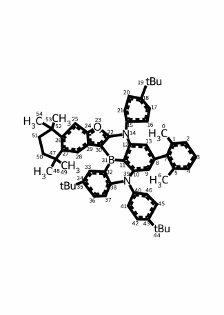 Cc1cccc(C)c1-c1cc2c3c(c1)N(c1ccc(C(C)(C)C)cc1)c1oc4cc5c(cc4c1B3c1cc(C(C)(C)C)ccc1N2c1ccc(C(C)(C)C)cc1)C(C)(C)CCC5(C)C